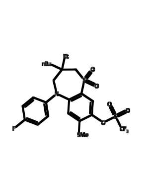 CCCCC1(CC)CN(c2ccc(F)cc2)c2cc(SC)c(OS(=O)(=O)C(F)(F)F)cc2S(=O)(=O)C1